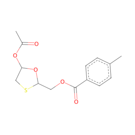 CC(=O)OC1CSC(COC(=O)c2ccc(C)cc2)O1